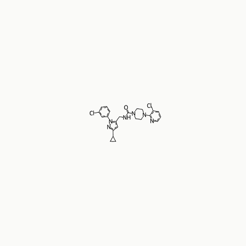 O=C(NCc1cc(C2CC2)nn1-c1cccc(Cl)c1)N1CCN(c2ncccc2Cl)CC1